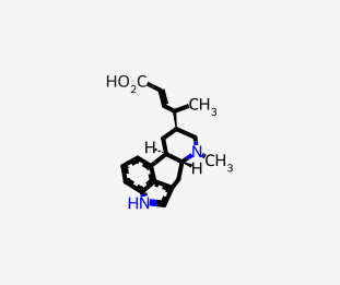 CC(/C=C/C(=O)O)[C@@H]1C[C@@H]2c3cccc4[nH]cc(c34)C[C@H]2N(C)C1